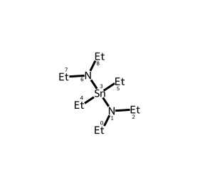 CC[N](CC)[Sn]([CH2]C)([CH2]C)[N](CC)CC